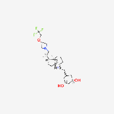 C[C@H](CN1CC(OCC(F)(F)F)C1)[C@H]1CC[C@H]2/C(=C/C=C3C[C@@H](O)C[C@H](O)C3)CCC[C@]12C